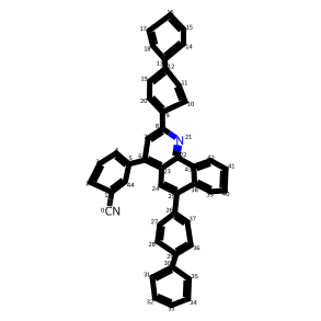 N#Cc1cccc(-c2cc(-c3ccc(-c4ccccc4)cc3)nc3c2cc(-c2ccc(-c4ccccc4)cc2)c2ccccc23)c1